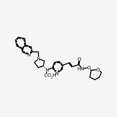 O=C(C=Cc1ccc(N(C(=O)O)[C@@H]2CCN(Cc3cc4ccccc4cn3)C2)nc1)NOC1CCCCO1